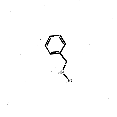 C[CH]NCc1ccccc1